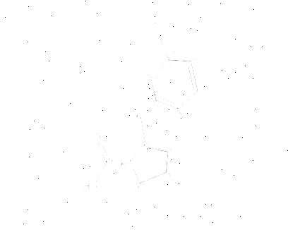 O=C(O)[C@H]1CCCN1Cc1cccc(Cl)c1